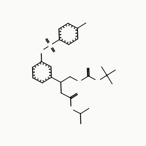 Cc1ccc(S(=O)(=O)Oc2cccc(C(CNC(=O)OC(C)(C)C)CC(=O)OC(C)C)c2)cc1